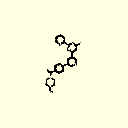 CC(C)N1CCN(C(=O)c2ccc(-c3cncc(-c4cc(Cl)nc(-c5ccccn5)n4)c3)cc2)CC1